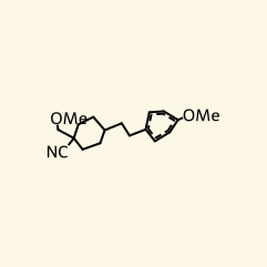 COCC1(C#N)CCC(CCc2ccc(OC)cc2)CC1